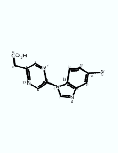 O=C(O)Cc1cnc(-n2cnc3cc(Br)ccc32)cn1